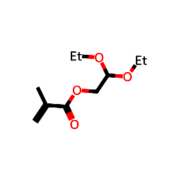 C=C(C)C(=O)OCC(OCC)OCC